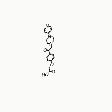 O=C(O)COc1ccc(C(=O)CN2CCN(c3ccncc3)CC2)cc1